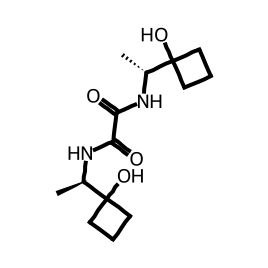 C[C@@H](NC(=O)C(=O)N[C@H](C)C1(O)CCC1)C1(O)CCC1